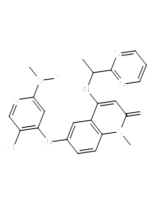 CC(=O)N(C)c1cc(Nc2ccc3c(c2)c(NC(C)c2ncccn2)cc(=O)n3C)c(Cl)cn1